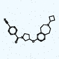 N#Cc1ccc(C(=O)N2CCC(Oc3ccc4c(c3)CCN(C3CCC3)CC4)C2)cc1